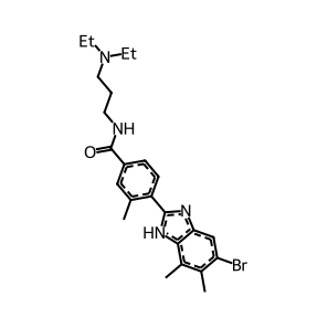 CCN(CC)CCCNC(=O)c1ccc(-c2nc3cc(Br)c(C)c(C)c3[nH]2)c(C)c1